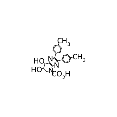 Cc1ccc(-c2nc3c(nc2-c2ccc(C)cc2)N(C(=O)O)CC(O)C3O)cc1